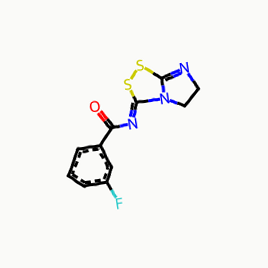 O=C(N=C1SSC2=NCCN21)c1cccc(F)c1